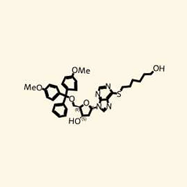 COc1ccc(C(OC[C@H]2O[C@@H](n3cnc4c(SCCCCCCO)ncnc43)C[C@@H]2O)(c2ccccc2)c2ccc(OC)cc2)cc1